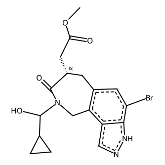 COC(=O)C[C@@H]1Cc2cc(Br)c3[nH]ncc3c2CN(C(O)C2CC2)C1=O